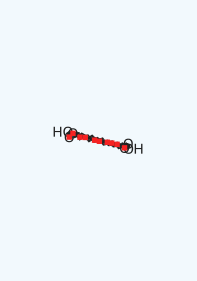 O=C(O)OC=CCCCCCCCCCCCCCCCCCCOC(=O)O